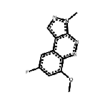 COc1cc(F)cc2c1nnc1c2cnn1C